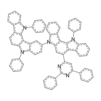 c1ccc(-c2cc(-c3cc4c(c5ccccc5n4-c4ccc5c(c4)c4c(ccc6c7ccccc7n(-c7ccccc7)c64)n5-c4ccccc4)c4c3c3ccccc3n4-c3ccccc3)nc(-c3ccccc3)n2)cc1